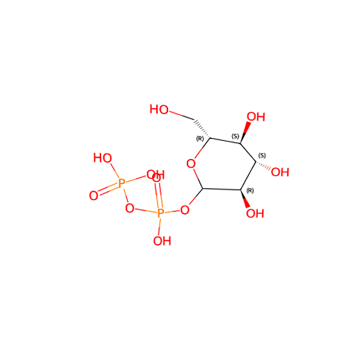 O=P(O)(O)OP(=O)(O)OC1O[C@H](CO)[C@@H](O)[C@H](O)[C@H]1O